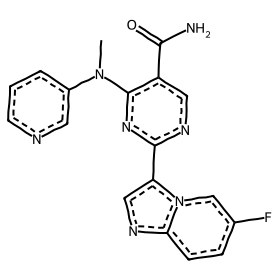 CN(c1cccnc1)c1nc(-c2cnc3ccc(F)cn23)ncc1C(N)=O